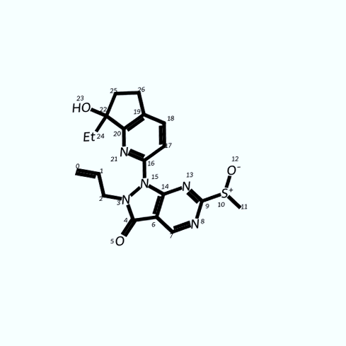 C=CCn1c(=O)c2cnc([S+](C)[O-])nc2n1-c1ccc2c(n1)C(O)(CC)CC2